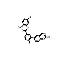 COc1ccc(Cl)cc1NC(=O)c1ccc(C)c(-c2ccc3nc(N)ncc3c2)c1